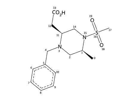 C[C@H]1CN(Cc2ccccc2)[C@@H](CC(=O)O)CN1S(C)(=O)=O